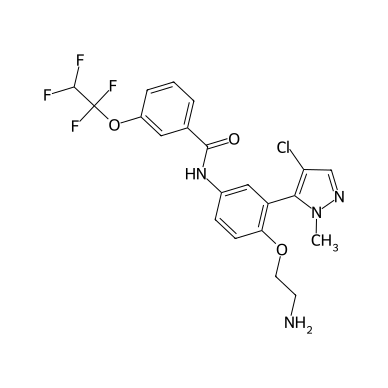 Cn1ncc(Cl)c1-c1cc(NC(=O)c2cccc(OC(F)(F)C(F)F)c2)ccc1OCCN